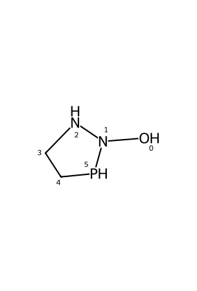 ON1NCCP1